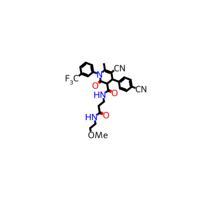 COCCNC(=O)CCNC(=O)C1C(=O)N(c2cccc(C(F)(F)F)c2)C(C)=C(C#N)C1c1ccc(C#N)cc1